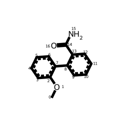 COc1ccccc1-c1cc[c]cc1C(N)=O